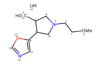 COCCN1CC(C(=O)O)C(c2cnco2)C1.[LiH]